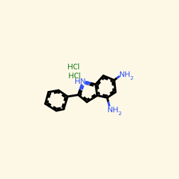 Cl.Cl.Nc1cc(N)c2cc(-c3ccccc3)[nH]c2c1